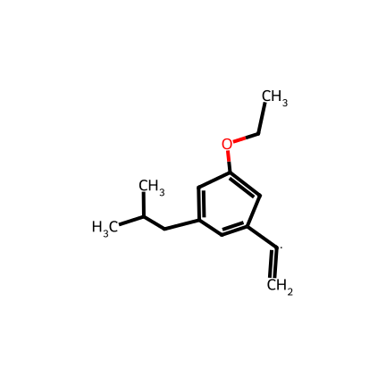 C=[C]c1cc(CC(C)C)cc(OCC)c1